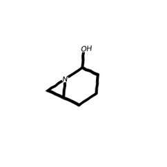 OC1CCCC2CN12